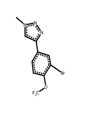 Cn1cc(-c2ccc(OC(F)(F)F)c(Br)c2)nn1